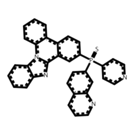 S=P(c1ccncc1)(c1ccc2cccnc2c1)c1ccc2c3ccccc3n3c4ccccc4nc3c2c1